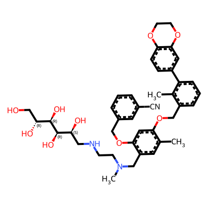 Cc1cc(CN(C)CCNC[C@H](O)[C@@H](O)[C@H](O)[C@H](O)CO)c(OCc2cccc(C#N)c2)cc1OCc1cccc(-c2ccc3c(c2)OCCO3)c1C